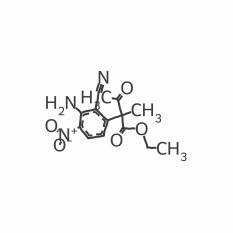 CCOC(=O)C(C)(C(C)=O)c1ccc([N+](=O)[O-])c(N)c1C#N